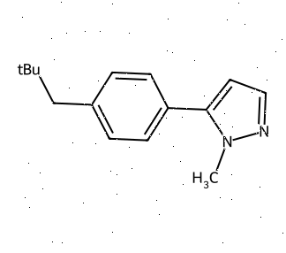 Cn1nccc1-c1ccc(CC(C)(C)C)cc1